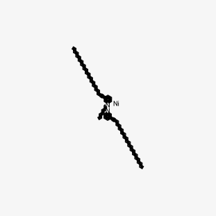 CCCCCCCCCCCCCCCCCCCCCCCC#Cc1cccc(N=CC(CCCCC)=Nc2cccc(C#CCCCCCCCCCCCCCCCCCCCCCCC)c2)c1.[Ni]